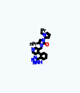 CCCc1cn(-c2cccn2CC(C)C)c(=O)n1Cc1cnccc1-c1ccccc1-c1nnn[nH]1